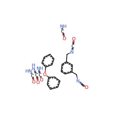 N=C=O.N=C=O.N=C=O.N=C=O.O=C=NCc1cccc(CN=C=O)c1.c1ccc(Oc2ccccc2)cc1